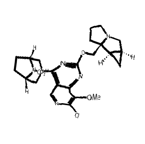 COc1c(Cl)ncc2c(N3C[C@H]4CC[C@@H](C3)N4C(=O)O)nc(OC[C@@]34CCCN3C[C@H]3C[C@H]34)nc12